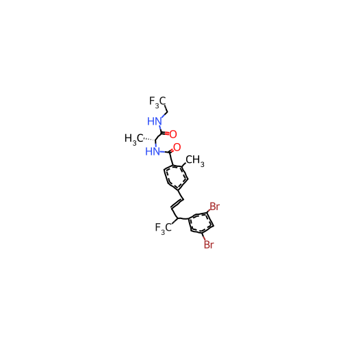 Cc1cc(/C=C/C(c2cc(Br)cc(Br)c2)C(F)(F)F)ccc1C(=O)N[C@H](C)C(=O)NCC(F)(F)F